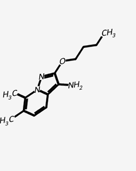 CCCCOc1nn2c(C)c(C)ccc2c1N